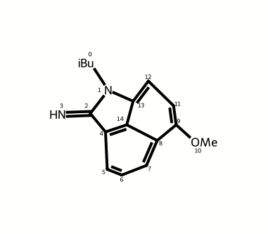 CCC(C)N1C(=N)c2cccc3c(OC)ccc1c23